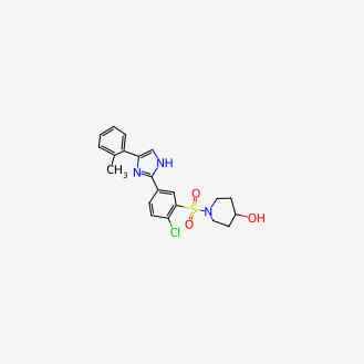 Cc1ccccc1-c1c[nH]c(-c2ccc(Cl)c(S(=O)(=O)N3CCC(O)CC3)c2)n1